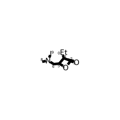 CCC1C(=O)OC1CN(C)I